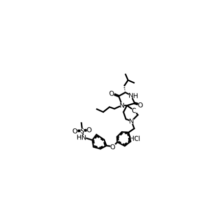 CCCCN1C(=O)[C@H](CC(C)C)NC(=O)C12CCN(Cc1ccc(Oc3ccc(NS(C)(=O)=O)cc3)cc1)CC2.Cl